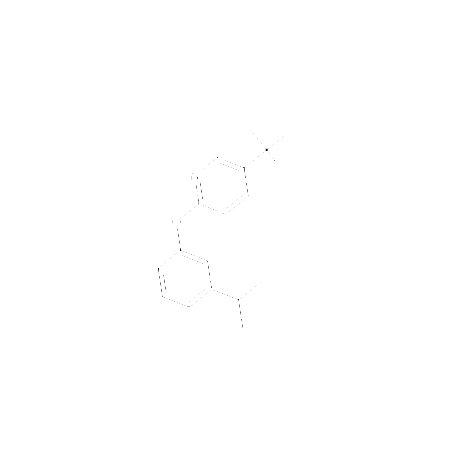 CC(C)c1cccc(Oc2ccc(C(F)(F)F)cn2)c1